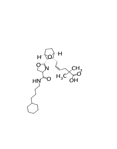 CC(C)(C/C=C\C[C@@H]1[C@H](C2=NC(C(=O)NCCCCC3CCCCC3)CO2)[C@H]2CC[C@@H]1O2)C(=O)O